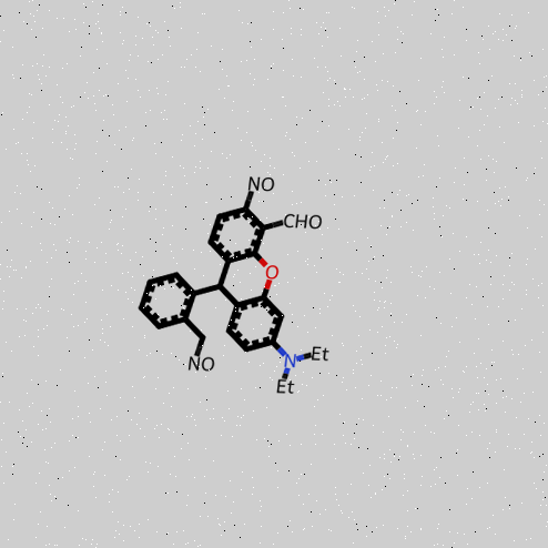 CCN(CC)c1ccc2c(c1)Oc1c(ccc(N=O)c1C=O)C2c1ccccc1CN=O